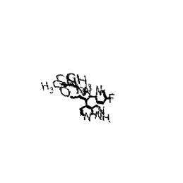 C[C@@H]1n2nc(-c3ccc(F)cn3)c(-c3ccnc4[nH]ncc34)c2COC1(C)C